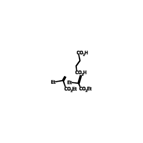 C=C(CC)C(=O)OCC.C=C(CC)C(=O)OCC.O=C(O)CCC(=O)O